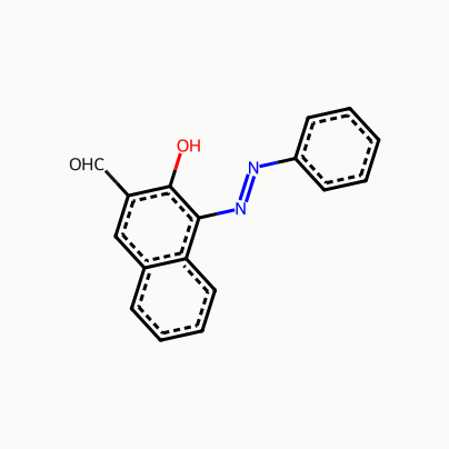 O=Cc1cc2ccccc2c(N=Nc2ccccc2)c1O